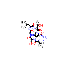 CC(C)C[C@H](NC(=O)CNC(=O)[C@H](CO)NC(=O)[C@@H](N)C(C)C)C(=O)N[C@H](C(=O)N1CCC[C@H]1C(N)=O)[C@@H](C)O